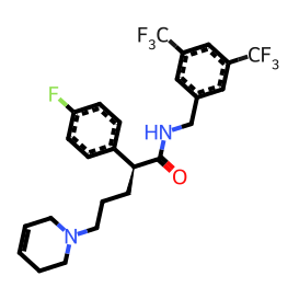 O=C(NCc1cc(C(F)(F)F)cc(C(F)(F)F)c1)[C@@H](CCCN1CC=CCC1)c1ccc(F)cc1